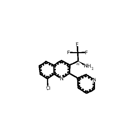 N[C@@H](c1cc2cccc(Cl)c2nc1-c1cccnc1)C(F)(F)F